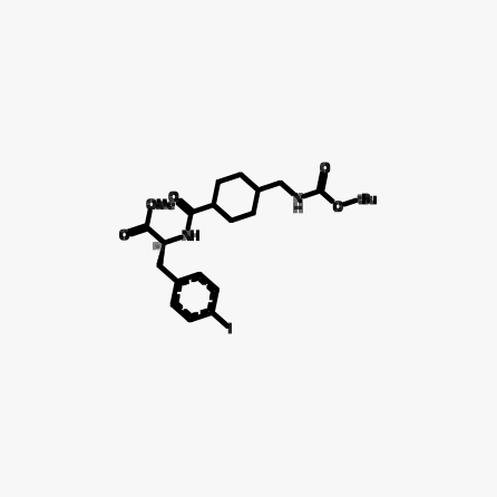 COC(=O)[C@H](Cc1ccc(I)cc1)NC(=O)C1CCC(CNC(=O)OC(C)(C)C)CC1